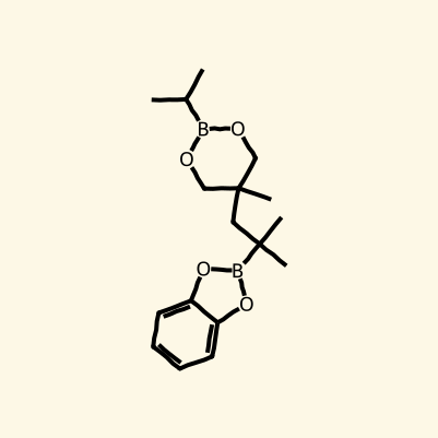 CC(C)B1OCC(C)(CC(C)(C)B2Oc3ccccc3O2)CO1